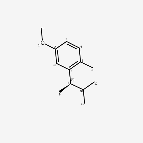 COc1ccc(C)c([C@H](C)C(C)C)c1